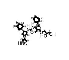 Cc1c(OC[C@@H](O)CO)nn(-c2ccccc2)c1NC(=O)N[C@@H]1CN(c2cn[nH]c2)C[C@H]1c1ccc(F)c(F)c1